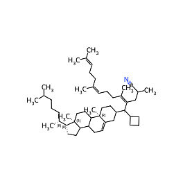 CC(C)=CCCC(C)=CCCC(C)=C(CC(C)C#N)[C](C1CCC1)C1CC[C@@]2(C)C(=CCC3C2CC[C@@]2(C)C3CC[C@@H]2[C@H](C)CCCC(C)C)C1